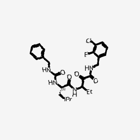 CCC(NC(=O)[C@H](CC(C)C)NC(=O)NCc1ccccc1)C(=O)C(=O)NCc1cccc(Cl)c1F